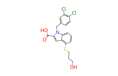 O=C(O)c1cc2c(SCCCO)cccc2n1Cc1ccc(Cl)c(Cl)c1